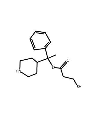 CC(OC(=O)CCS)(c1ccccc1)C1CCNCC1